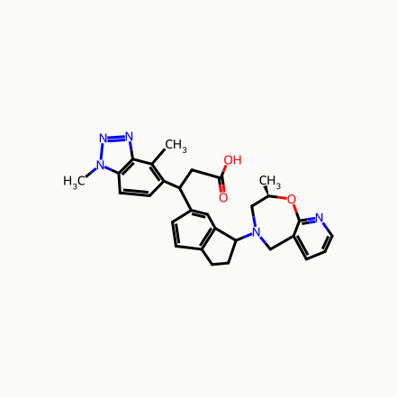 Cc1c(C(CC(=O)O)c2ccc3c(c2)C(N2Cc4cccnc4O[C@H](C)C2)CC3)ccc2c1nnn2C